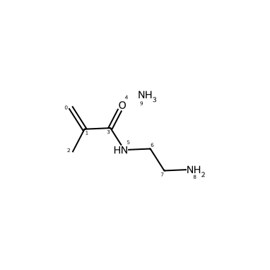 C=C(C)C(=O)NCCN.N